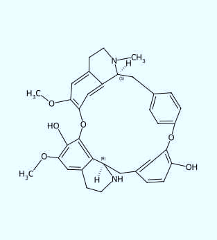 COc1cc2c3cc1Oc1c(O)c(OC)cc4c1[C@@H](Cc1ccc(O)c(c1)Oc1ccc(cc1)C[C@@H]3N(C)CC2)NCC4